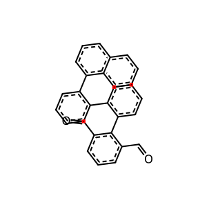 O=Cc1cccc(C=O)c1-c1ccccc1-c1ccccc1-c1cccc2ccccc12